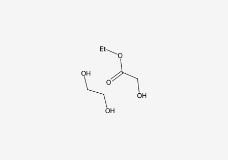 CCOC(=O)CO.OCCO